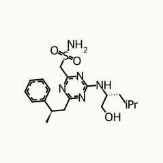 CC(C)C[C@H](CO)Nc1nc(C[C@@H](C)c2ccccc2)nc(CS(N)(=O)=O)n1